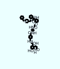 O=C(COc1cccc([C@](O)(C(=O)OCC2CCN(Cc3ccccc3)CC2)c2ccccc2)c1)NC1CC(NC(=O)c2ccc(CNCC(O)c3ccc(O)c4[nH]c(=O)ccc34)cc2)C1